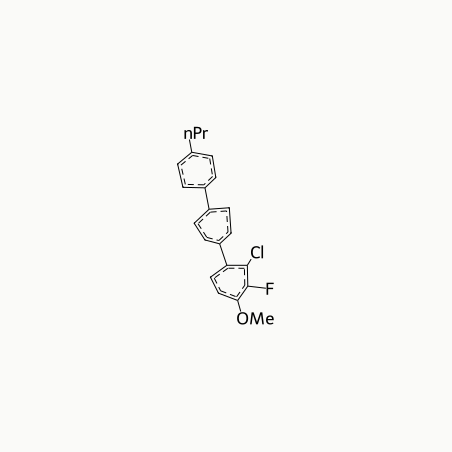 CCCc1ccc(-c2ccc(-c3ccc(OC)c(F)c3Cl)cc2)cc1